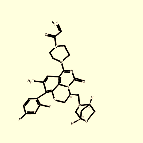 C=CC(=O)N1CCN(c2nc(=O)n3c4c(c(-c5ccc(F)cc5F)c(C)cc24)SC[C@@H]3CN2C[C@@H]3C[C@H]2CO3)CC1